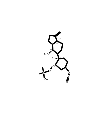 C=C1CCC2[C@H](OC(C)=O)C([C@@]3(C)CCC(N=[N+]=[N-])C[C@@H]3CO[Si](C)(C)C(C)(C)C)CC[C@]12C